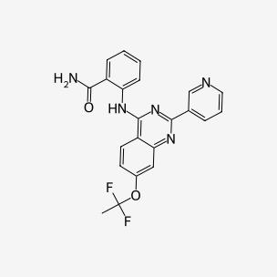 CC(F)(F)Oc1ccc2c(Nc3ccccc3C(N)=O)nc(-c3cccnc3)nc2c1